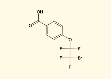 O=C(O)c1ccc(OC(F)(F)C(F)(F)Br)cc1